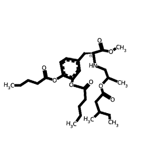 CCCCC(=O)Oc1ccc(C[C@H](NCC(C)OC(=O)CC(C)CC)C(=O)OC)cc1OC(=O)CCCC